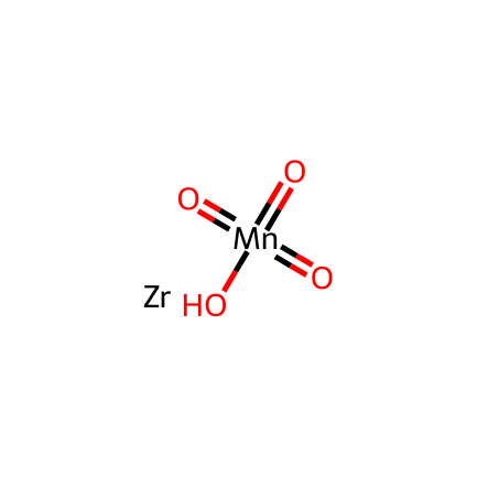 [O]=[Mn](=[O])(=[O])[OH].[Zr]